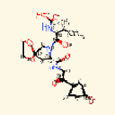 CC(C)[C@H](NC(=O)O)C(=O)N1CC2(C[C@H]1C(=O)NCC(=O)c1ccc(Br)cc1)OCCO2